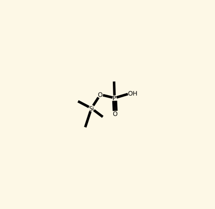 C[Si](C)(C)OP(C)(=O)O